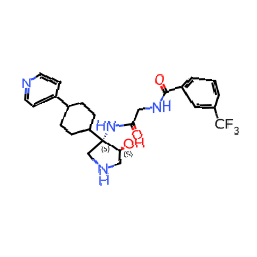 O=C(CNC(=O)c1cccc(C(F)(F)F)c1)N[C@@]1(C2CCC(c3ccncc3)CC2)CNC[C@@H]1O